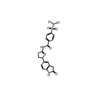 CCN(CC)S(=O)(=O)c1ccc(C(=O)NC2=NC(c3ccc4c(c3)CC(=O)N4)CS2)cc1